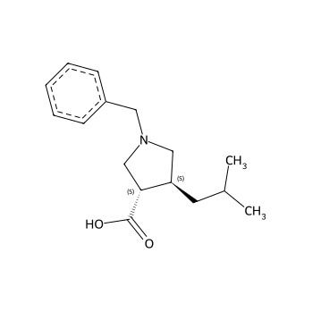 CC(C)C[C@@H]1CN(Cc2ccccc2)C[C@H]1C(=O)O